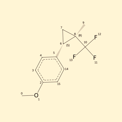 COc1ccc([C@@H]2C[C@@]2(C)C(F)(F)F)cc1